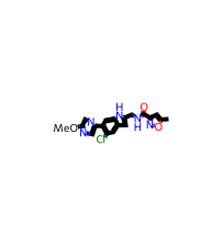 COc1cnc(-c2cc3[nH]c(CNC(=O)c4cc(C)on4)cc3cc2Cl)cn1